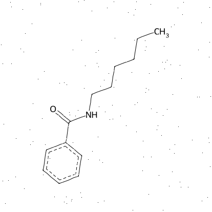 CCCCCCNC(=O)c1ccccc1